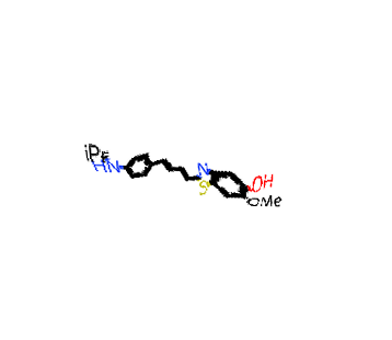 COc1cc2sc(/C=C/C=C/c3ccc(NC(C)C)cc3)nc2cc1O